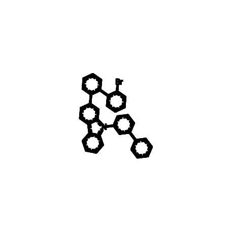 Brc1ccccc1-c1ccccc1-c1ccc2c3ccccc3n(-c3cccc(-c4ccccc4)c3)c2c1